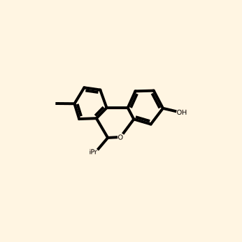 Cc1ccc2c(c1)C(C(C)C)Oc1cc(O)ccc1-2